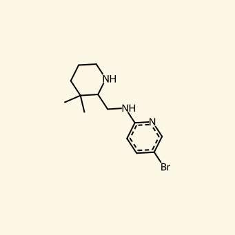 CC1(C)CCCNC1CNc1ccc(Br)cn1